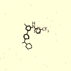 Cc1cc(Nc2nccc(C(F)(F)F)n2)cc(-c2ccc(C(C)C3CCCCC3)cc2)c1